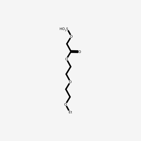 CCOCCOCCOC(=O)COS(=O)(=O)O